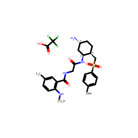 CSc1ccc(S(=O)(=O)C[C@@H]2CC[C@@H](N)C[C@@H]2NC(=O)CNC(=O)c2cc(C(F)(F)F)ccc2NC(=O)O)cc1.O=C(O)C(F)(F)F